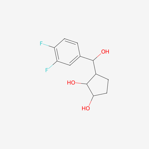 OC1CCC(C(O)c2ccc(F)c(F)c2)C1O